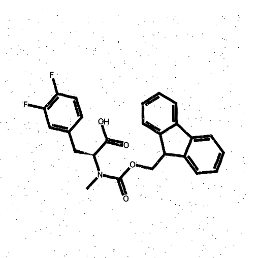 CN(C(=O)OCC1c2ccccc2-c2ccccc21)[C@@H](Cc1ccc(F)c(F)c1)C(=O)O